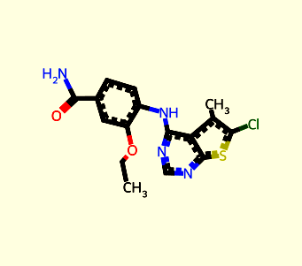 CCOc1cc(C(N)=O)ccc1Nc1ncnc2sc(Cl)c(C)c12